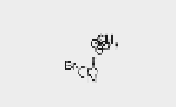 CS(=O)(=O)OCC#Cc1ccnc2ccc(Br)cc12